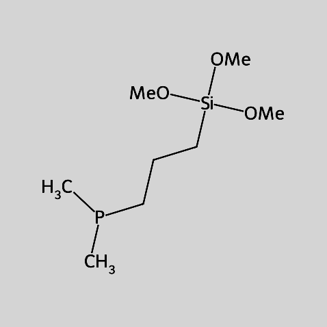 CO[Si](CCCP(C)C)(OC)OC